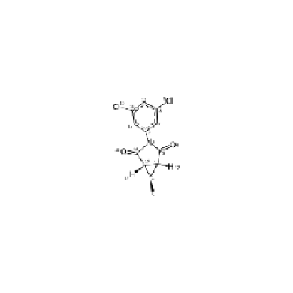 C[C@@H]1[C@H]2C(=O)N(c3cc(Cl)cc(Cl)c3)C(=O)[C@@H]12